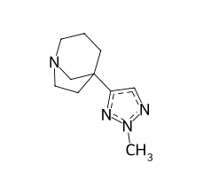 Cn1ncc(C23CCCN(CC2)C3)n1